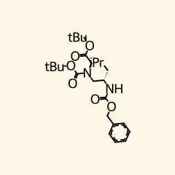 CC(C)C[C@@H](CN(CC(=O)OC(C)(C)C)C(=O)OC(C)(C)C)NC(=O)OCc1ccccc1